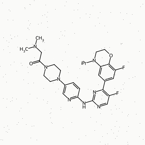 CC(C)N1CCOc2c(F)cc(-c3nc(Nc4ccc(N5CCN(C(=O)CN(C)C)CC5)cn4)ncc3F)cc21